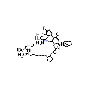 C=C(CCCCCCN1CCCC1COc1nc(N2CC3CCC(C2)N3)c2cc(Cl)c(-c3ccc(F)c(C)c3/N=C(\C)N)c(F)c2n1)NC(C=O)C(C)(C)C